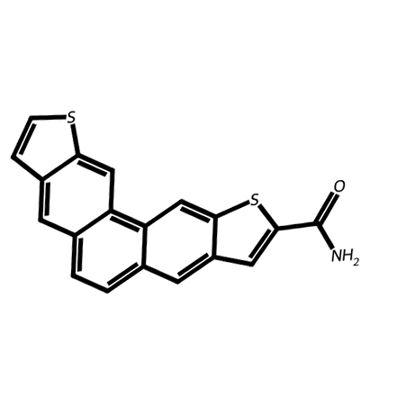 NC(=O)c1cc2cc3ccc4cc5ccsc5cc4c3cc2s1